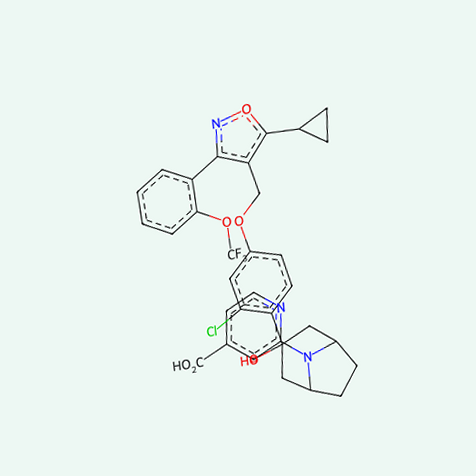 O=C(O)c1ccnc(N2C3CCC2CC(O)(c2ccc(OCc4c(-c5ccccc5OC(F)(F)F)noc4C4CC4)cc2Cl)C3)c1